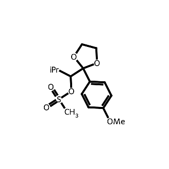 COc1ccc(C2(C(OS(C)(=O)=O)C(C)C)OCCO2)cc1